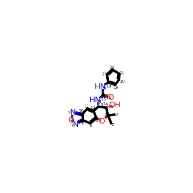 CC1(C)Oc2cc3nonc3cc2[C@@H](NC(=O)Nc2ccccc2)[C@@H]1O